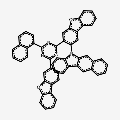 c1ccc2cc3c(cc2c1)c1ccccc1n3-c1cc2c(cc1-c1nc(-c3ccc4c(c3)oc3ccccc34)nc(-c3cccc4ccccc34)n1)oc1ccccc12